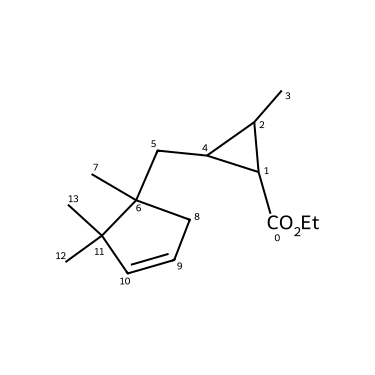 CCOC(=O)C1C(C)C1CC1(C)CC=CC1(C)C